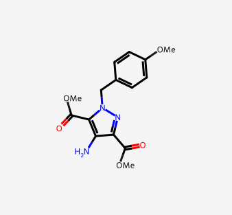 COC(=O)c1nn(Cc2ccc(OC)cc2)c(C(=O)OC)c1N